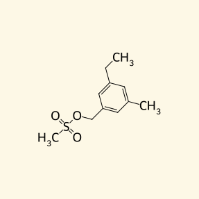 CCc1cc(C)cc(COS(C)(=O)=O)c1